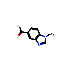 CCC(=O)c1ccc2c(c1)ncn2C